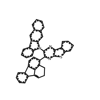 C1=C2c3ccccc3-c3ccc(-c4nc5sc6ccccc6c5nc4-n4c5ccccc5c5cc6ccccc6cc54)c(c32)CC1